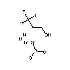 OCCC(F)(F)F.[Li+].[Li+].[Li+].[O-]B([O-])[O-]